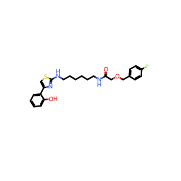 O=C(COCc1ccc(F)cc1)NCCCCCCNc1nc(-c2ccccc2O)cs1